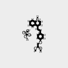 COC(COc1ccc(C=Cc2cc[n+](C)c3ccccc23)cc1)OC.COS(=O)(=O)[O-]